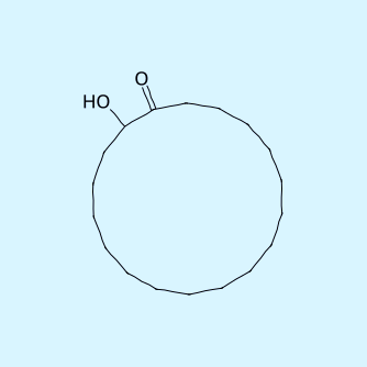 O=C1CCCCCCCCCCCCCCCCC1O